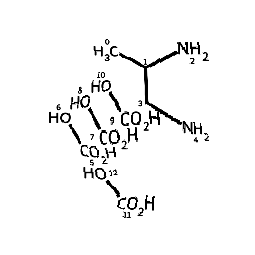 CC(N)CN.O=C(O)O.O=C(O)O.O=C(O)O.O=C(O)O